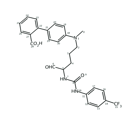 CN(CCCC(C=O)NC(=O)Nc1ccc(C(F)(F)F)cc1)c1ccc(-c2ccccc2C(=O)O)cc1